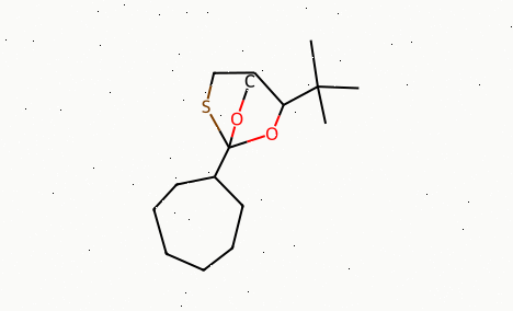 CC(C)(C)C1OC2(C3CCCCCC3)OCC1CS2